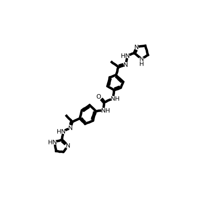 C/C(=N\NC1=NCCN1)c1ccc(NC(=O)Nc2ccc(/C(C)=N/NC3=NCCN3)cc2)cc1